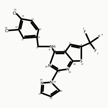 FC(F)(F)c1cc2c(NCc3ccc(Cl)c(Cl)c3)nc(-n3cccn3)nc2s1